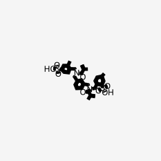 C=C(C)C(=O)N(Cc1cccc(CN(Cc2ccc(C)cc2S(=O)(=O)O)C(=O)C(=C)C)c1)Cc1ccc(S(=O)(=O)O)cc1C